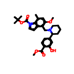 COC(=O)c1ccc(C2CCCCN2Cc2c(OC)cc(C)c3c2ccn3C(=O)OC(C)(C)C)cc1O